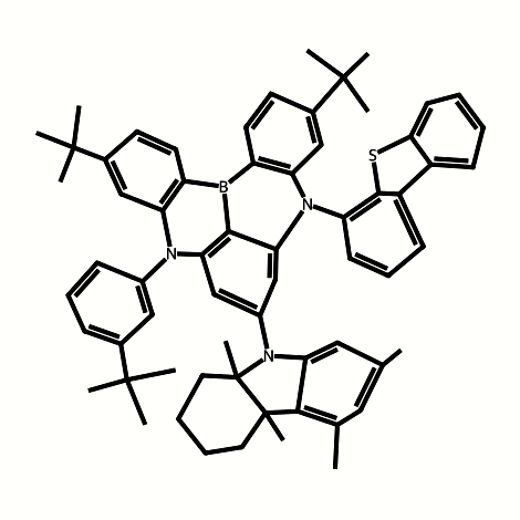 Cc1cc(C)c2c(c1)N(c1cc3c4c(c1)N(c1cccc5c1sc1ccccc15)c1cc(C(C)(C)C)ccc1B4c1ccc(C(C)(C)C)cc1N3c1cccc(C(C)(C)C)c1)C1(C)CCCCC21C